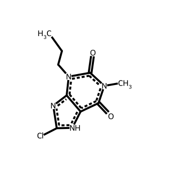 CCCn1c(=O)n(C)c(=O)c2[nH]c(Cl)nc21